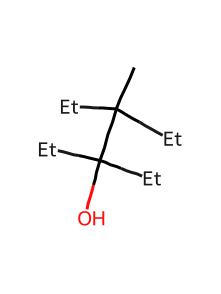 CCC(C)(CC)C(O)(CC)CC